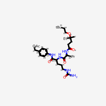 CCC(C)(CCC(=O)NC(C(=O)NC(CCCNC(N)=O)C(=O)Nc1ccc(COC(C)=O)cc1)C(C)C)OCCC(C)(C)C